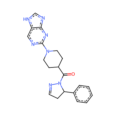 O=C(C1CCN(c2ncc3[nH]cnc3n2)CC1)N1N=CCC1c1ccccc1